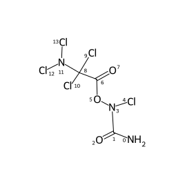 NC(=O)N(Cl)OC(=O)C(Cl)(Cl)N(Cl)Cl